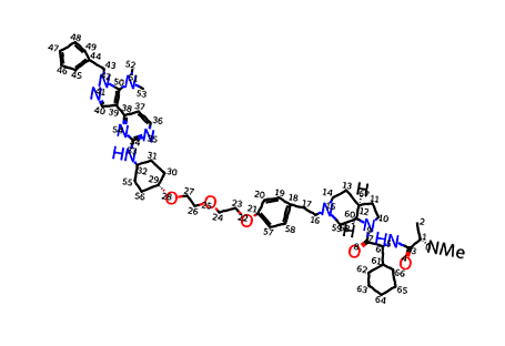 CN[C@@H](C)C(=O)N[C@H](C(=O)N1CC[C@@H]2CCN(CCc3ccc(OCCOCCO[C@H]4CC[C@H](Nc5nccc(-c6cnn(Cc7ccccc7)c6N(C)C)n5)CC4)cc3)C[C@@H]21)C1CCCCC1